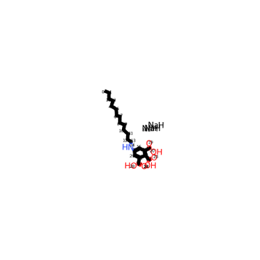 CCCCCCCCCCCCCCNc1cc(C(=O)O)c(C(=O)O)c(C(=O)O)c1.[NaH].[NaH].[NaH]